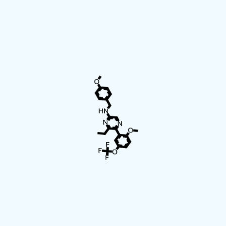 CCc1nc(NCc2ccc(OC)cc2)cnc1-c1cc(OC(F)(F)F)ccc1OC